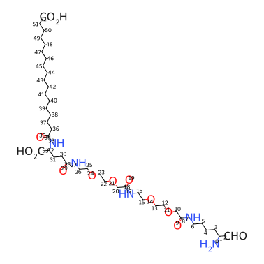 NC(C=O)CCCCNC(=O)COCCOCCNC(=O)COCCOCCNC(=O)CCC(NC(=O)CCCCCCCCCCCCCCCCC(=O)O)C(=O)O